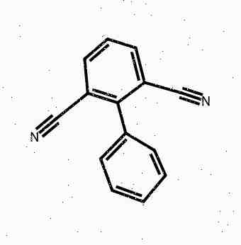 N#Cc1cccc(C#N)c1-c1cc[c]cc1